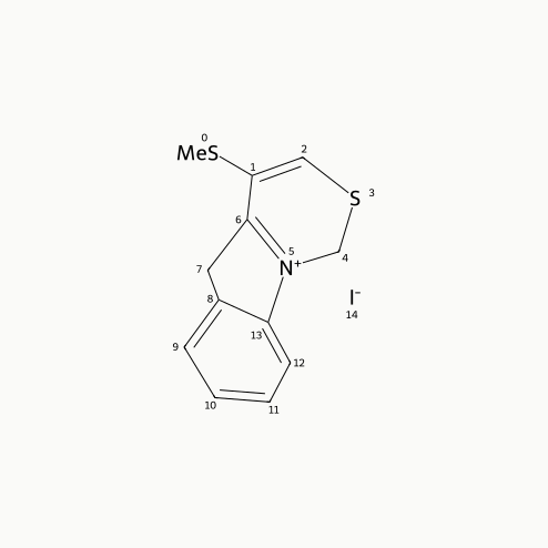 CSC1=CSC[N+]2=C1Cc1ccccc12.[I-]